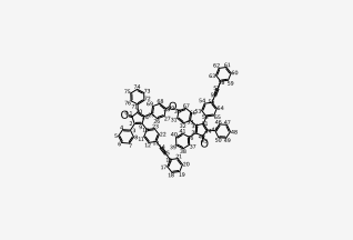 O=C1C(c2ccccc2)=C(c2ccc(C#Cc3ccccc3)cc2)C(c2ccc(Oc3ccc(C4=C(c5ccccc5)C(=O)C(c5ccccc5)=C4c4ccc(C#Cc5ccccc5)cc4)cc3)cc2)=C1c1ccccc1